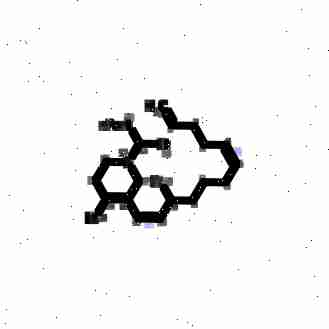 C=CCC/C=C\CCCC(/C=C\C1=C(CC)CCN(C(CC)CCCCC)C1)CC